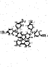 CC(C)(C)c1ccc(N(c2ccc(C(C)(C)C)cc2)c2ccc3c(c2)-c2cc(N(c4ccc(C(C)(C)C)cc4)c4ccc(C(C)(C)C)cc4)ccc2C32c3ccccc3-c3ccccc32)cc1